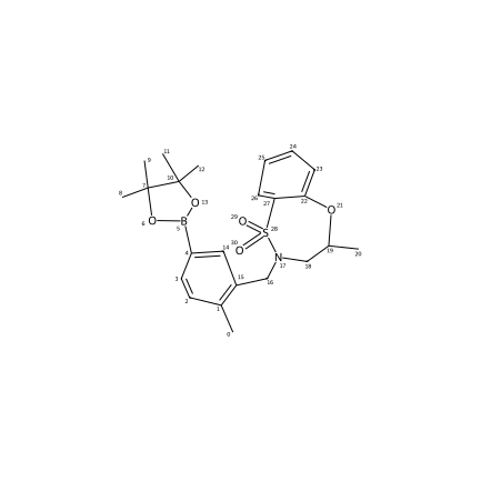 Cc1ccc(B2OC(C)(C)C(C)(C)O2)cc1CN1CC(C)Oc2ccccc2S1(=O)=O